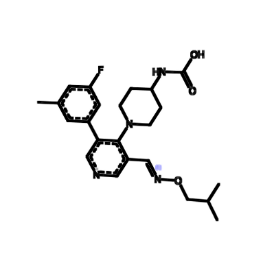 Cc1cc(F)cc(-c2cncc(/C=N/OCC(C)C)c2N2CCC(NC(=O)O)CC2)c1